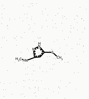 CNc1cc(SC)[nH]n1